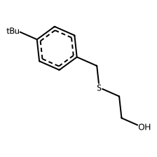 CC(C)(C)c1ccc(CSCCO)cc1